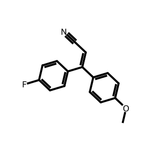 COc1ccc(C(=CC#N)c2ccc(F)cc2)cc1